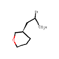 CCC(C[C@H]1CCCOC1)C(=O)O